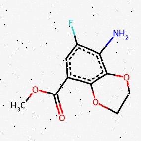 COC(=O)c1cc(F)c(N)c2c1OCCO2